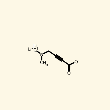 CN(C)CC#CC(=O)[O-].[Li+]